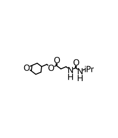 CC(C)NC(=O)NCCC(=O)OCC1CCC2OC2C1